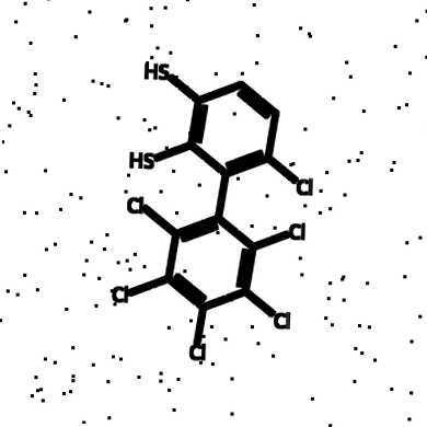 Sc1ccc(Cl)c(-c2c(Cl)c(Cl)c(Cl)c(Cl)c2Cl)c1S